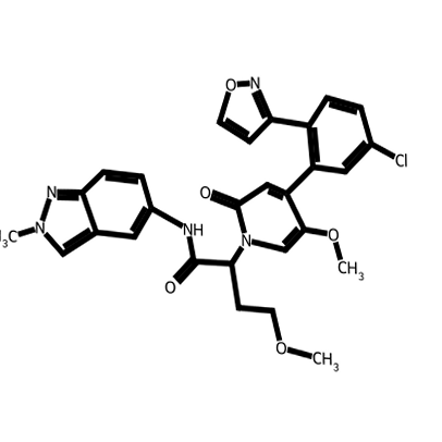 COCCC(C(=O)Nc1ccc2nn(C)cc2c1)n1cc(OC)c(-c2cc(Cl)ccc2-c2ccon2)cc1=O